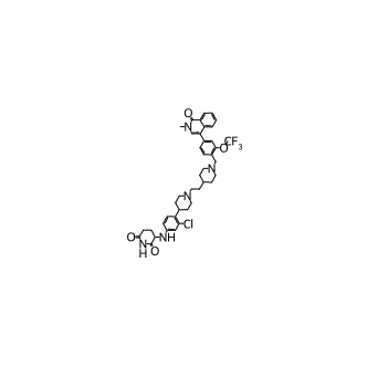 Cn1cc(-c2ccc(CN3CCC(CCN4CCC(c5ccc(NC6CCC(=O)NC6=O)cc5Cl)CC4)CC3)c(OC(F)(F)F)c2)c2ccccc2c1=O